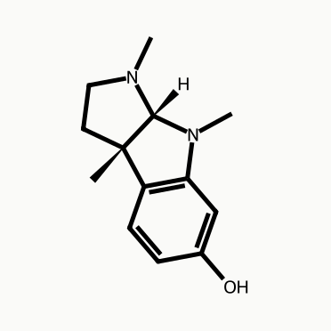 CN1CC[C@@]2(C)c3ccc(O)cc3N(C)[C@@H]12